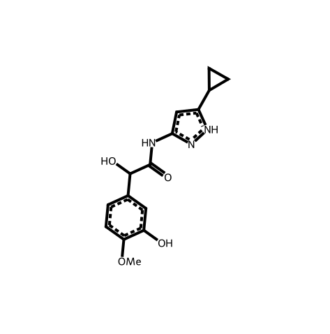 COc1ccc(C(O)C(=O)Nc2cc(C3CC3)[nH]n2)cc1O